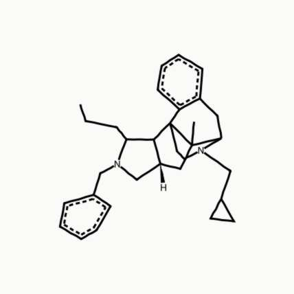 CCCC1C2[C@@H](CN1Cc1ccccc1)CC1(C)C3Cc4ccccc4C21CCN3CC1CC1